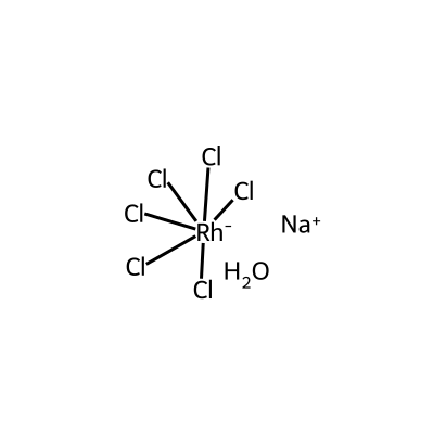 O.[Cl][Rh-]([Cl])([Cl])([Cl])([Cl])[Cl].[Na+]